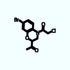 CC(=O)C1CN(C(=O)CCl)c2ccc(Br)cc2O1